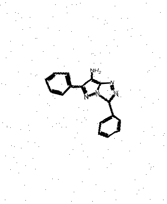 Nc1c(-c2ccccc2)nn2c1N=NC2c1ccccc1